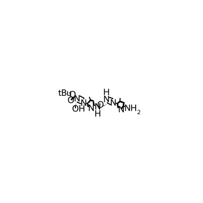 Cc1cc(N)ncc1N1CCN[C@@H](CONc2cc(C)c(N3CCN(C(=O)OC(C)(C)C)[C@@H](CO)C3)cn2)C1